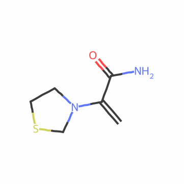 C=C(C(N)=O)N1CCSC1